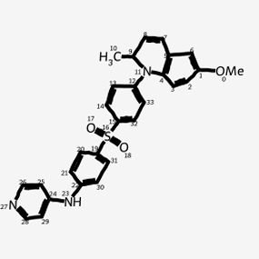 COc1ccc2c(c1)C=CC(C)N2c1ccc(S(=O)(=O)c2ccc(Nc3ccncc3)cc2)cc1